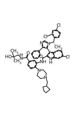 C[C@@H](c1ccc(Cl)cc1Cl)n1cnc(-c2ccccc2)c1-c1c(C(=O)Nc2cc(C(=O)NCC(C)(C)O)ccc2N2CCN(CC3CCCC3)CC2)[nH]c2cc(Cl)ccc12